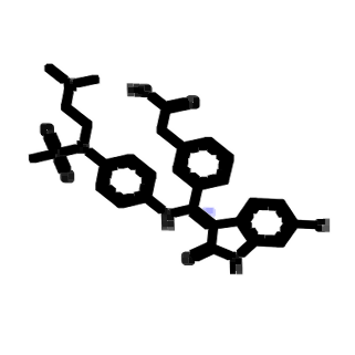 CN(C)CCN(c1ccc(N/C(=C2\C(=O)Nc3cc(Cl)ccc32)c2cccc(CC(=O)O)c2)cc1)S(C)(=O)=O